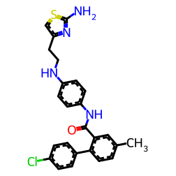 Cc1ccc(-c2ccc(Cl)cc2)c(C(=O)Nc2ccc(NCCc3csc(N)n3)cc2)c1